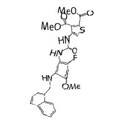 COC(=O)c1scc(NC(=O)Nc2cc(NCc3cccc4ccccc34)c(OC)cc2F)c1C(=O)OC